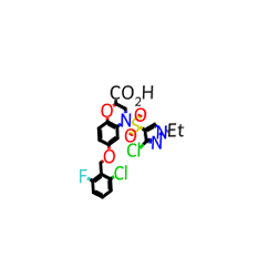 CCn1cc(S(=O)(=O)N2CC(C(=O)O)Oc3ccc(OCc4c(F)cccc4Cl)cc32)c(Cl)n1